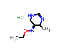 CCON=C1CNC=NC1C.Cl